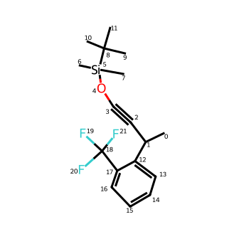 CC(C#CO[Si](C)(C)C(C)(C)C)c1ccccc1C(F)(F)F